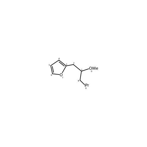 CO[C](Cc1ccco1)CC(C)C